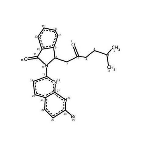 CC(C)CCC(=O)CC1c2ccccc2C(=O)N1c1ccc2ccc(Br)nc2n1